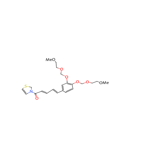 COCCOCOc1ccc(C=CC=CC(=O)N2C=CSC2)cc1OCOCCOC